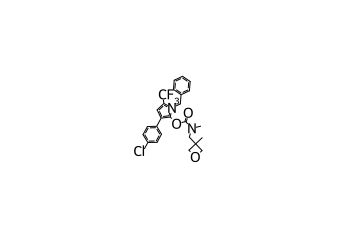 CN(CC1(C)COC1)C(=O)Oc1c(-c2ccc(Cl)cc2)cc(C(F)(F)F)n1Cc1ccccc1